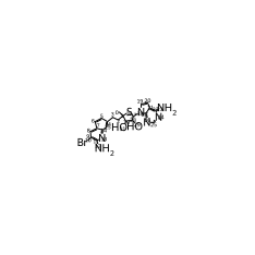 CC1(CCc2ccc3cc(Br)c(N)nc3c2)SC(n2ccc3c(N)ncnc32)C(O)C1O